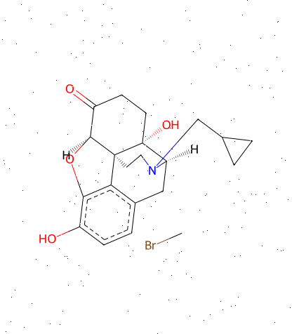 CBr.O=C1CC[C@@]2(O)[C@H]3Cc4ccc(O)c5c4[C@@]2(CCN3CC2CC2)[C@H]1O5